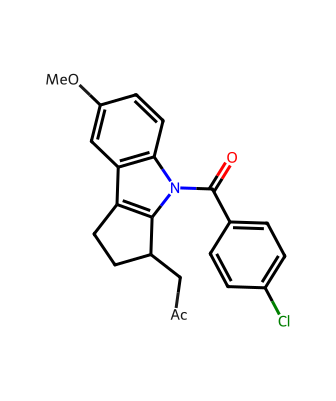 COc1ccc2c(c1)c1c(n2C(=O)c2ccc(Cl)cc2)C(CC(C)=O)CC1